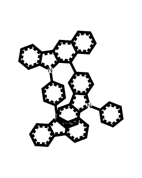 c1ccc(-n2c3ccccc3c3cc(-c4c5ccccc5cc5c6ccccc6n(-c6ccc(-n7c8ccccc8c8ccccc87)cc6)c45)ccc32)cc1